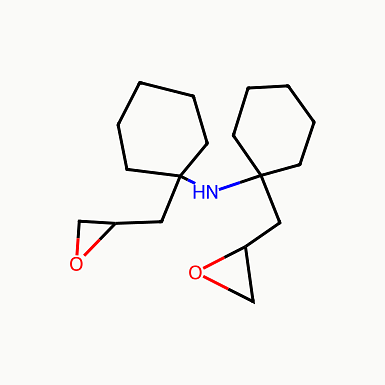 C1CCC(CC2CO2)(NC2(CC3CO3)CCCCC2)CC1